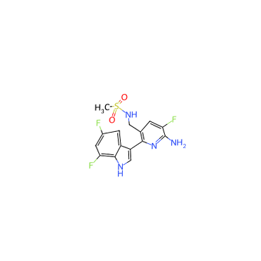 CS(=O)(=O)NCc1cc(F)c(N)nc1-c1c[nH]c2c(F)cc(F)cc12